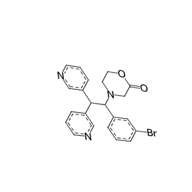 O=C1CN(C(c2cccc(Br)c2)C(c2cccnc2)c2cccnc2)CCO1